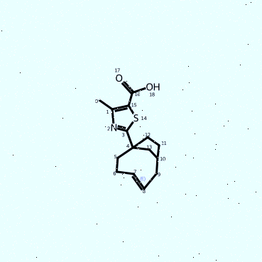 Cc1nc(C23CC/C=C/CC(CC2)C3)sc1C(=O)O